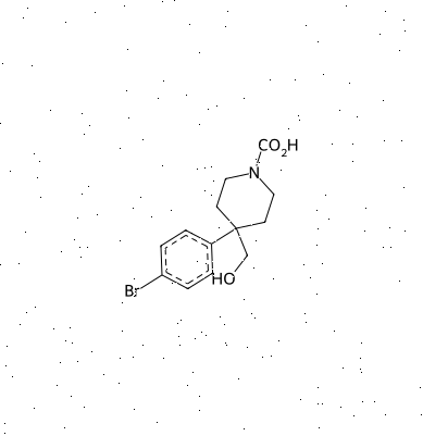 O=C(O)N1CCC(CO)(c2ccc(Br)cc2)CC1